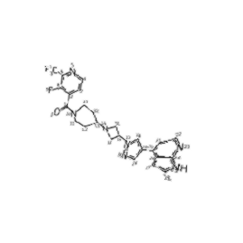 O=C(c1ccnc(C(F)(F)F)c1F)N1CCC(N2CC(n3cc(-c4ccnc5[nH]ccc45)cn3)C2)CC1